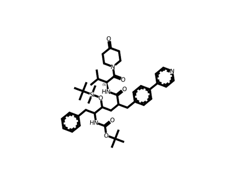 CC(C)[C@H](NC(=O)C(Cc1ccc(-c2ccncc2)cc1)CC(O[Si](C)(C)C(C)(C)C)C(Cc1ccccc1)NC(=O)OC(C)(C)C)C(=O)N1CCC(=O)CC1